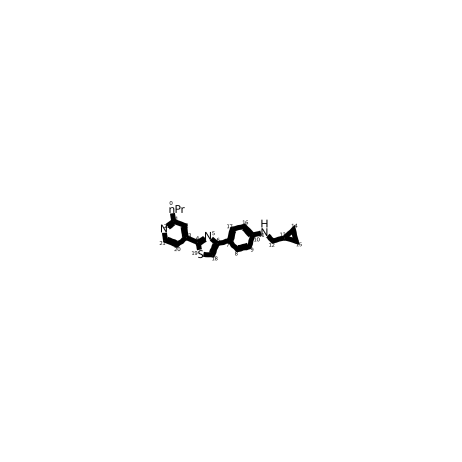 CCCc1cc(-c2nc(-c3ccc(NCC4CC4)cc3)cs2)ccn1